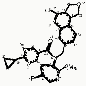 COc1ncc(F)cc1N(Cc1ccc2c3c(c(Cl)nc2c1)COC3)C(=O)c1cnc(C2CC2)nc1